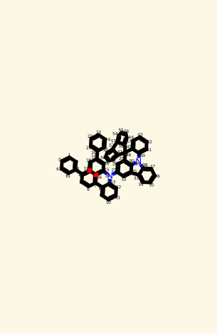 c1ccc(-c2ccc(-c3ccccc3N(c3cccc(-c4ccccc4)c3)c3cc4c5c(c3)c3ccccc3n5-c3ccccc3C43c4ccccc4-c4ccccc43)cc2)cc1